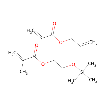 C=C(C)C(=O)OCCO[Si](C)(C)C.C=CCOC(=O)C=C